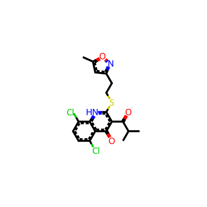 Cc1cc(CCSc2[nH]c3c(Cl)ccc(Cl)c3c(=O)c2C(=O)C(C)C)no1